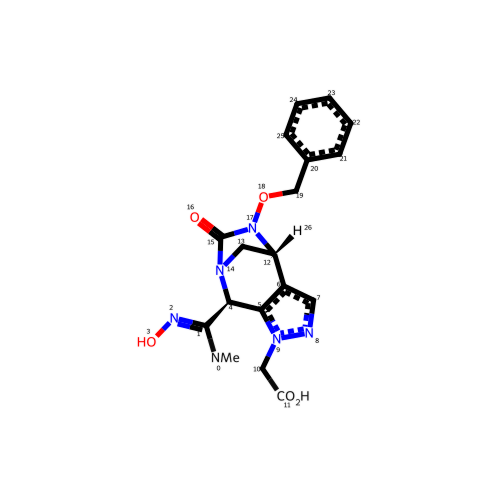 CN/C(=N\O)[C@@H]1c2c(cnn2CC(=O)O)[C@@H]2CN1C(=O)N2OCc1ccccc1